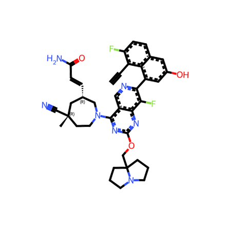 C#Cc1c(F)ccc2cc(O)cc(-c3ncc4c(N5CC[C@](C)(C#N)C[C@H](C=CC(N)=O)C5)nc(OCC56CCCN5CCC6)nc4c3F)c12